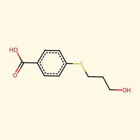 O=C(O)c1ccc(SCCCO)cc1